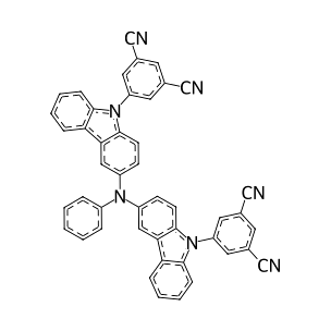 N#Cc1cc(C#N)cc(-n2c3ccccc3c3cc(N(c4ccccc4)c4ccc5c(c4)c4ccccc4n5-c4cc(C#N)cc(C#N)c4)ccc32)c1